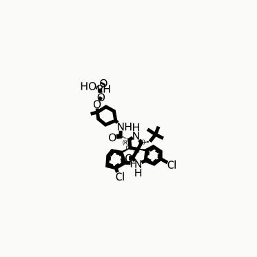 CC(C)(C)C[C@H]1N[C@@H](C(=O)NC2CCC(C)(OO[PH](=O)O)CC2)[C@H](c2cccc(Cl)c2F)[C@@]12C(=O)Nc1cc(Cl)ccc12